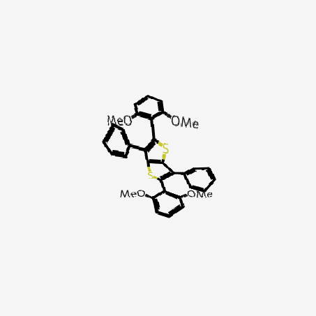 COc1cccc(OC)c1-c1sc2c(-c3ccccc3)c(-c3c(OC)cccc3OC)sc2c1-c1ccccc1